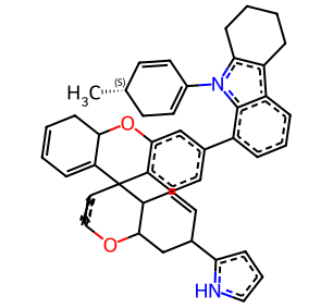 C[C@@H]1C=CC(n2c3c(c4cccc(-c5ccc6c(c5)OC5CC=CC=C5C65c6ccccc6OC6CC(c7ccc[nH]7)C=CC65)c42)CCCC3)=CC1